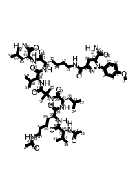 COc1ccc(N2N=C(C(=O)NCCCC[C@H](NC(=O)[C@@H](NC(=O)C(C)(C)NC(=O)[C@H](CC(C)C)NC(=O)[C@H](CCCCNC(C)=O)NC(=O)[C@@H](NC(C)=O)C(C)C)C(C)C)C(=O)N[C@@H](CC(C)C)C(N)=O)CC2C(N)=O)cc1